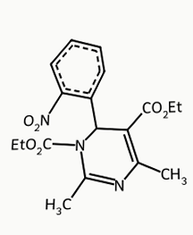 CCOC(=O)C1=C(C)N=C(C)N(C(=O)OCC)C1c1ccccc1[N+](=O)[O-]